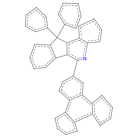 c1ccc(C2(c3ccccc3)c3ccccc3-c3c(-c4ccc5c6ccccc6c6ccccc6c5c4)nc4ccccc4c32)cc1